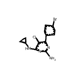 Nc1nc(NC2CC2)c(Cl)c(-c2ccc(Br)cc2)n1